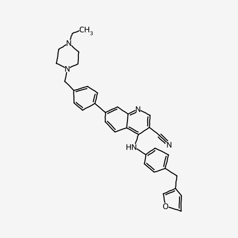 CCN1CCN(Cc2ccc(-c3ccc4c(Nc5ccc(Cc6ccoc6)cc5)c(C#N)cnc4c3)cc2)CC1